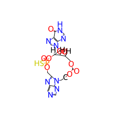 O=C1OCCn2c(nc3cncnc32)COP(=O)(S)O[C@@H]2[C@H](O)[C@@H](CO1)O[C@H]2n1cnc2c(=O)[nH]cnc21